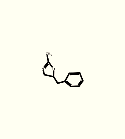 CC1=NCC(Cc2ccccc2)O1